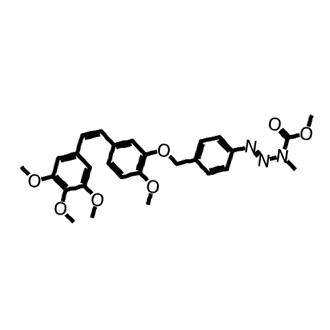 COC(=O)N(C)/N=N/c1ccc(COc2cc(/C=C\c3cc(OC)c(OC)c(OC)c3)ccc2OC)cc1